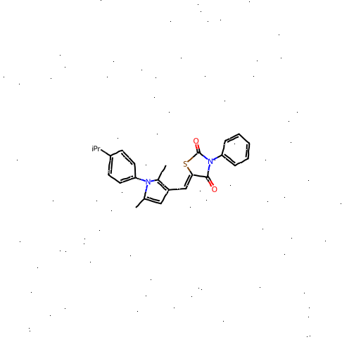 Cc1cc(C=C2SC(=O)N(c3ccccc3)C2=O)c(C)n1-c1ccc(C(C)C)cc1